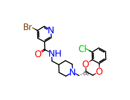 O=C(NCC1CCN(C[C@H]2COc3cccc(Cl)c3O2)CC1)c1cncc(Br)c1